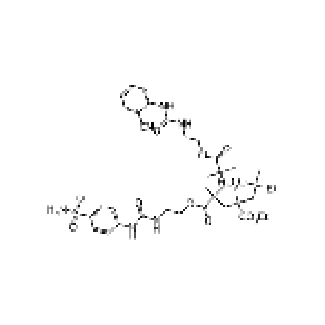 CCOC(=O)C(C)(CC(C)(CC)C(=O)O)CC(C)(CC(C)(C)C(=O)OCCNC(=O)Nc1ccccc1C#N)C(=O)OCCNC(=O)Nc1ccc(S(N)(=O)=O)cc1